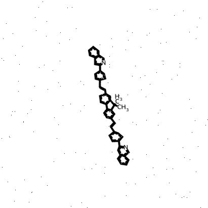 CC1(C)c2cc(/C=C/c3ccc(-c4cc5ccccc5cn4)cc3)ccc2-c2ccc(/C=C/c3ccc(-c4cc5ccccc5cn4)cc3)cc21